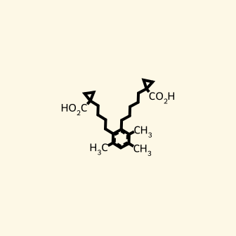 Cc1cc(C)c(CCCCC2(C(=O)O)CC2)c(CCCCCC2(C(=O)O)CC2)c1C